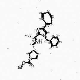 CC(C)(C)OC(=O)N1CC[C@@H](CN[C@@H](c2nc(-c3ccccc3)cn2Cc2ccccc2)C(C)(C)C)C1